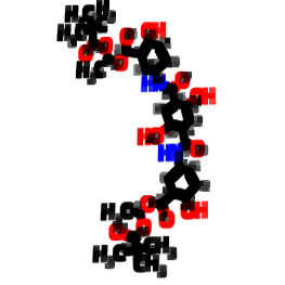 CC(OC(=O)c1cc(NC(=O)c2cc(O)c(C(=O)Nc3ccc(O)c(C(=O)OC(C)OC(=O)C(C)(C)C)c3)cc2O)ccc1O)OC(=O)C(C)(C)C